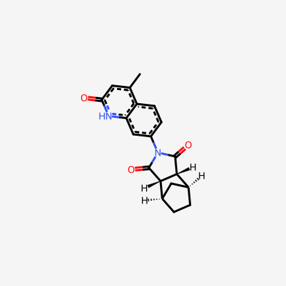 Cc1cc(=O)[nH]c2cc(N3C(=O)[C@@H]4[C@H]5CC[C@H](C5)[C@@H]4C3=O)ccc12